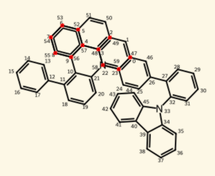 c1ccc(-c2ccccc2-c2c(-c3ccccc3)cccc2N(c2ccc(-c3ccccc3-n3c4ccccc4c4ccccc43)cc2)c2cccc3ccccc23)cc1